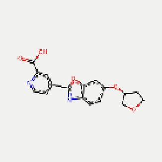 O=C(O)c1cc(-c2nc3ccc(O[C@H]4CCOC4)cc3o2)ccn1